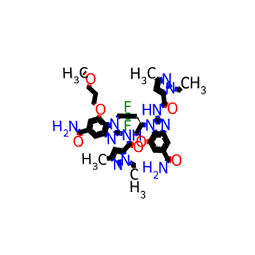 CCn1nc(C)cc1C(=O)Nc1nc2cc(C(N)=O)cc(OCCCOC)c2n1CC(F)(F)C[C@H]1COc2cc(C(N)=O)cc3nc(NC(=O)c4cc(C)nn4CC)n1c23